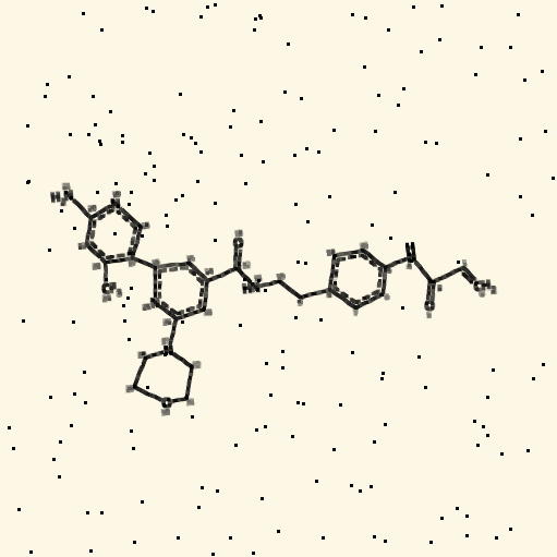 C=CC(=O)Nc1ccc(CCNC(=O)c2cc(-c3cnc(N)cc3C(F)(F)F)nc(N3CCOCC3)c2)cc1